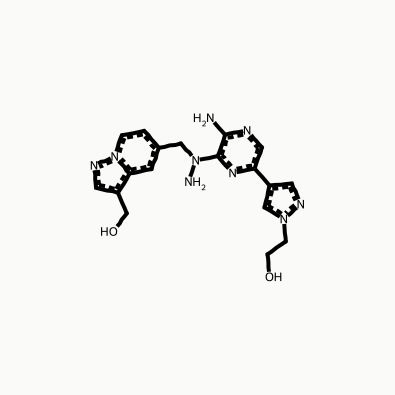 Nc1ncc(-c2cnn(CCO)c2)nc1N(N)Cc1ccn2ncc(CO)c2c1